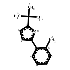 CC(C)(C)c1ccc(-c2ccccc2N)s1